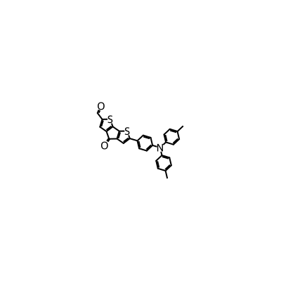 Cc1ccc(N(c2ccc(C)cc2)c2ccc(-c3cc4c(s3)-c3sc(C=O)cc3C4=O)cc2)cc1